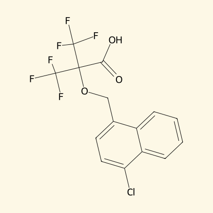 O=C(O)C(OCc1ccc(Cl)c2ccccc12)(C(F)(F)F)C(F)(F)F